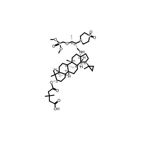 COP(=O)(CO[C@H](C)[C@@H](CN[C@]12CC[C@@H](C3(C)CC3)[C@@H]1[C@H]1CC[C@@H]3[C@@]4(C)CC[C@H](OC(=O)CC(C)(C)CC(=O)O)C(C)(C)[C@@H]4CC[C@@]3(C)[C@]1(C)CC2)N1CCS(=O)(=O)CC1)OC